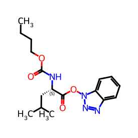 CCCCOC(=O)N[C@@H](CC(C)C)C(=O)On1nnc2ccccc21